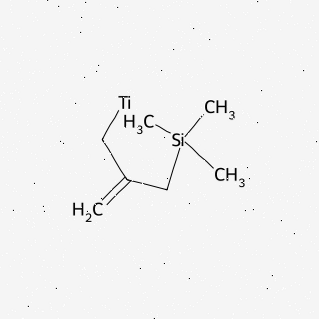 C=C([CH2][Ti])C[Si](C)(C)C